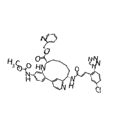 COC(=O)Nc1ccc2c(c1)N[C@@H](C(=O)OCc1ccccn1)CCCC[C@H](NC(=O)/C=C/c1cc(Cl)ccc1-n1cnnn1)c1cc-2ccn1